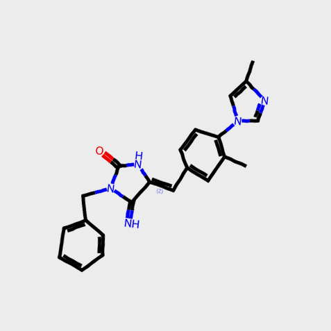 Cc1cn(-c2ccc(/C=C3\NC(=O)N(Cc4ccccc4)C3=N)cc2C)cn1